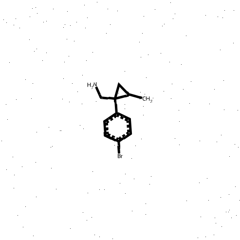 [CH2]C1CC1(CN)c1ccc(Br)cc1